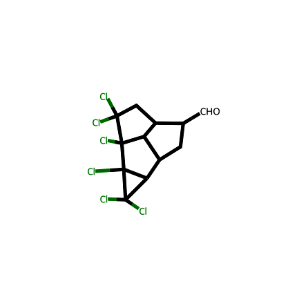 O=CC1CC2C3C1CC(Cl)(Cl)C3(Cl)C1(Cl)C2C1(Cl)Cl